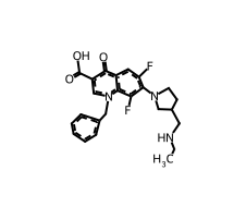 CCNCC1CCN(c2c(F)cc3c(=O)c(C(=O)O)cn(Cc4ccccc4)c3c2F)C1